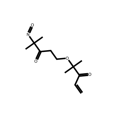 C=CC(=O)C(C)(C)OCCC(=O)C(C)(C)N=O